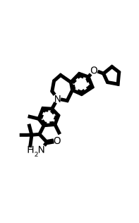 Cc1cc(N2CCCc3cc(OC4CCCC4)ccc3C2)cc(C)c1C(C(N)=O)C(C)(C)C